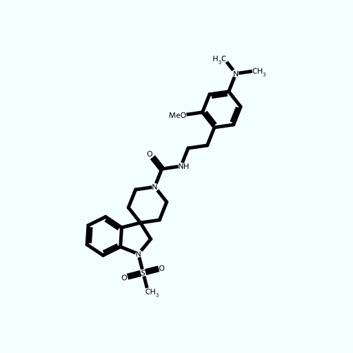 COc1cc(N(C)C)ccc1CCNC(=O)N1CCC2(CC1)CN(S(C)(=O)=O)c1ccccc12